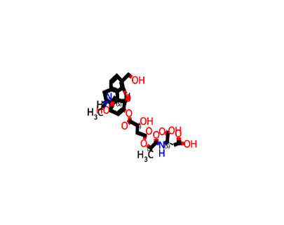 C[C@H](OC(=O)C[C@H](O)C(=O)OC1=CC[C@@]2(O)[C@H]3Cc4ccc(CO)c5c4[C@@]2(CCN3C)[C@H]1O5)C(=O)N[C@@H](CC(=O)O)C(=O)O